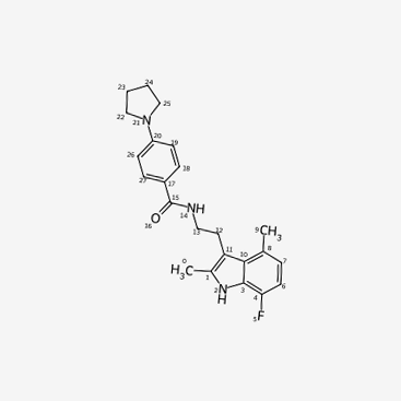 Cc1[nH]c2c(F)ccc(C)c2c1CCNC(=O)c1ccc(N2CCCC2)cc1